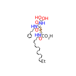 CC/C=C\C/C=C\C/C=C\C/C=C\C/C=C\C/C=C\CCC(=O)N[C@@H](CSSC(C)(C)[C@H](NC(=O)CCCc1ccccc1)C(=O)NC(CO)CO)C(=O)O